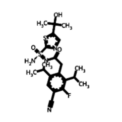 CC(C)c1cc(C#N)c(F)c(C(C)C)c1CC(=O)N=[S@@](N)(=O)c1ncc(C(C)(C)O)s1